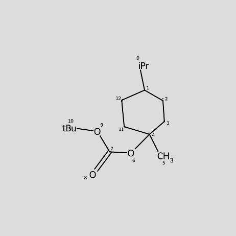 CC(C)C1[CH]CC(C)(OC(=O)OC(C)(C)C)CC1